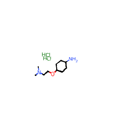 CN(C)CCOC1CCC(N)CC1.Cl.Cl